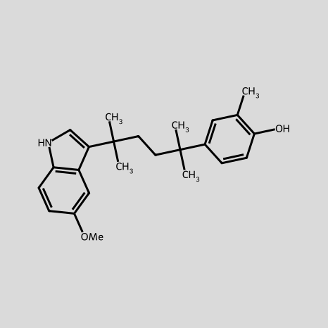 COc1ccc2[nH]cc(C(C)(C)CCC(C)(C)c3ccc(O)c(C)c3)c2c1